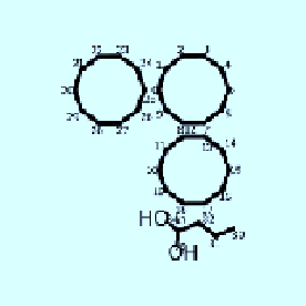 C1CCCCCCCCC1.C1CCCCCCCCC1.C1CCCCCCCCC1.CCCC(O)O